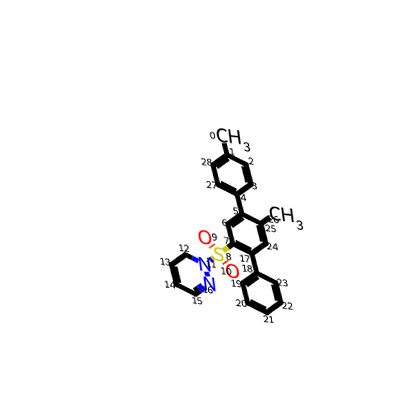 Cc1ccc(-c2cc(S(=O)(=O)N3CC=CC=N3)c(-c3ccccc3)cc2C)cc1